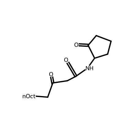 CCCCCCCCCC(=O)CC(=O)NC1CCCC1=O